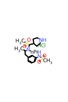 CCCN(C(C)Cc1cccc(NS(C)(=O)=O)c1)C(C1CCNCC1)S(C)(=O)=O.Cl